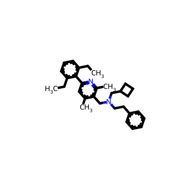 CCc1cccc(CC)c1-c1cc(C)c(CN(CCc2ccccc2)CC2CCC2)c(C)n1